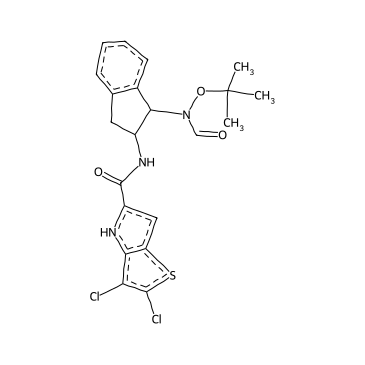 CC(C)(C)ON(C=O)C1c2ccccc2CC1NC(=O)c1cc2sc(Cl)c(Cl)c2[nH]1